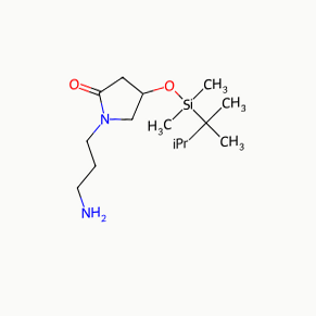 CC(C)C(C)(C)[Si](C)(C)OC1CC(=O)N(CCCN)C1